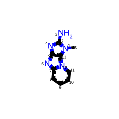 Cn1c(N)nc2nc3ccccn3c21